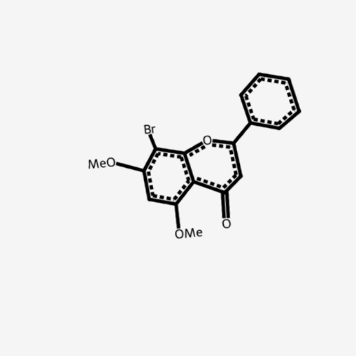 COc1cc(OC)c2c(=O)cc(-c3ccccc3)oc2c1Br